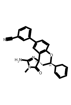 CN1C(=O)[C@@]2(C[C@H](C3C=CC=CC3)Oc3ccc(-c4cccc(C#N)c4)cc32)N=C1N